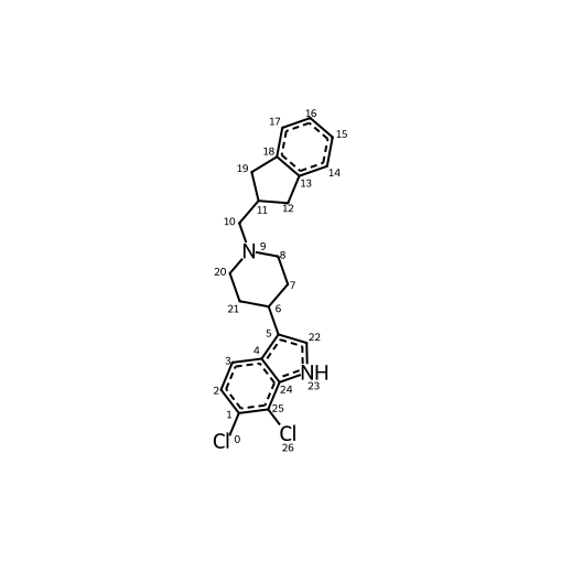 Clc1ccc2c(C3CCN(CC4Cc5ccccc5C4)CC3)c[nH]c2c1Cl